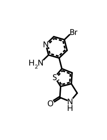 Nc1ncc(Br)cc1-c1cc2c(s1)C(=O)NC2